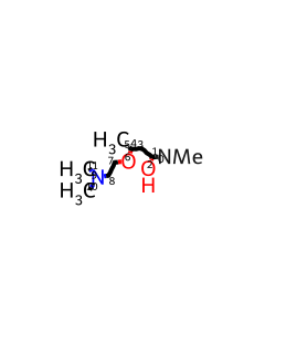 CNC(O)CC(C)OCCN(C)C